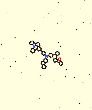 C1=CC(c2cccc3c2oc2ccccc23)=C(c2ccc(N(c3ccc(-c4cccc(-c5ccccc5-n5c6ccccc6c6ccccc65)c4)cc3)c3ccc4c(ccc5ccccc54)c3)cc2)CC1